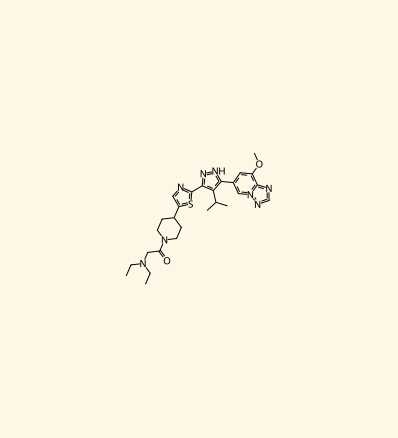 CCN(CC)CC(=O)N1CCC(c2cnc(-c3n[nH]c(-c4cc(OC)c5ncnn5c4)c3C(C)C)s2)CC1